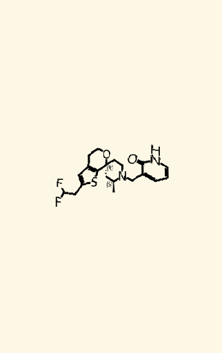 C[C@H]1C[C@@]2(CCN1Cc1ccc[nH]c1=O)OCCc1cc(CC(F)F)sc12